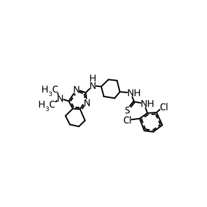 CN(C)c1nc(NC2CCC(NC(=S)Nc3c(Cl)cccc3Cl)CC2)nc2c1CCCC2